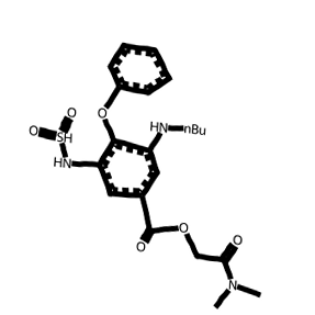 CCCCNc1cc(C(=O)OCC(=O)N(C)C)cc(N[SH](=O)=O)c1Oc1ccccc1